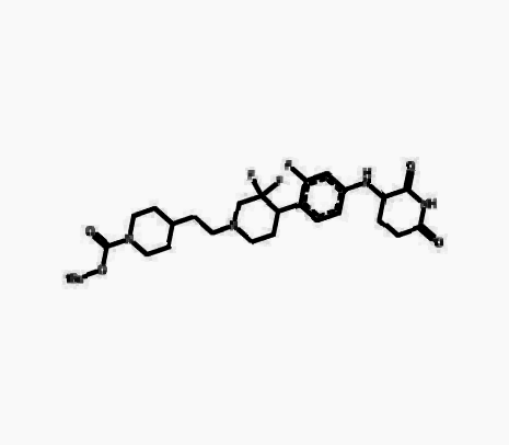 CC(C)(C)OC(=O)N1CCC(CCN2CCC(c3ccc(NC4CCC(=O)NC4=O)cc3F)C(F)(F)C2)CC1